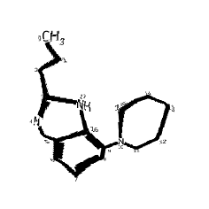 CCCc1nc2cccc(N3CCCCC3)c2[nH]1